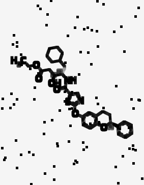 CCOC(=O)C[C@H](O)[C@H](CC1CCCCC1)NC(=O)c1cnc(Oc2ccc3c(c2)CC[C@@H](c2ccccc2)O3)s1